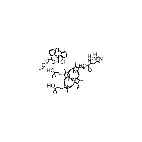 C=CC1=C(C)C2=NC/1=C\c1c(C)c(C=C)c3[n]1[Fe][n]1/c(c(C)c(CCC(=O)O)/c1=C/C1=NC(=C\3)/C(C)=C1CCC(=O)O)=C\2.CCOCOC(=O)c1ccccc1Nc1c(Cl)ccc(C)c1Cl.N[C@@H](Cc1cnc[nH]1)C(=O)O